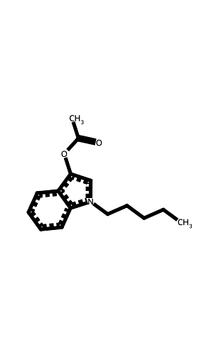 CCCCCn1cc(OC(C)=O)c2ccccc21